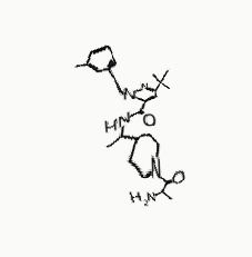 Cc1cccc(Cn2nc(C(C)(C)C)cc2C(=O)NC(C)C2CCN(C(=O)C(C)N)CC2)c1